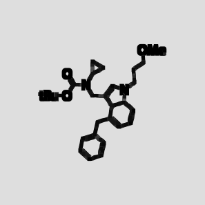 COCCCN1C=C(CN(C(=O)OC(C)(C)C)C2CC2)C2C(Cc3ccccc3)=CC=CC21